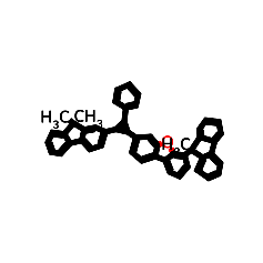 CC1(C)c2ccccc2-c2ccc(C3=C(c4ccc5c(c4)oc4c(C6(C)c7ccccc7-c7ccccc76)cccc45)C3c3ccccc3)cc21